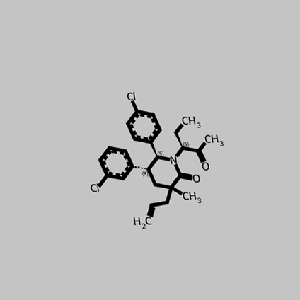 C=CCC1(C)C[C@H](c2cccc(Cl)c2)[C@@H](c2ccc(Cl)cc2)N([C@@H](CC)C(C)=O)C1=O